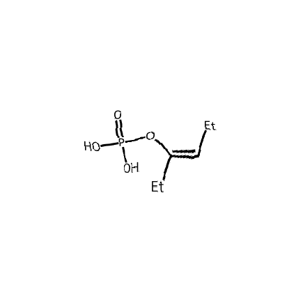 CCC=C(CC)OP(=O)(O)O